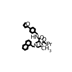 CC(C)C(=O)N1C(C)CN(Cc2cccc3ccccc23)CC1C(=O)NCc1ccc(-c2ccco2)cc1